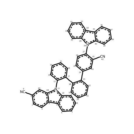 N#Cc1ccc2c3ccccc3n(-c3ccccc3-c3ccccc3-c3ccc(-n4c5ccccc5c5ccccc54)c(C#N)c3)c2c1